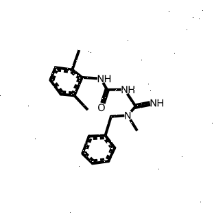 Cc1cccc(C)c1NC(=O)NC(=N)N(C)Cc1ccccc1